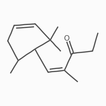 CCC(=O)C(C)=CC1C(C)CC=CC1(C)C